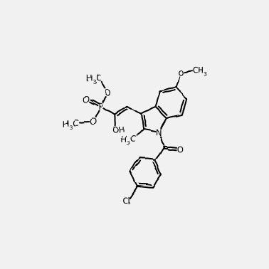 COc1ccc2c(c1)c(C=C(O)P(=O)(OC)OC)c(C)n2C(=O)c1ccc(Cl)cc1